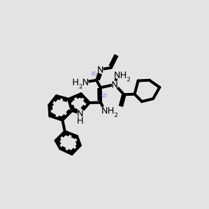 C=C/N=C(N)\C(=C(\N)c1cc2cccc(-c3ccccc3)c2[nH]1)N(N)C(=C)C1CCCCC1